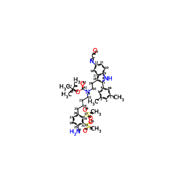 Cc1cc(C)cc(-c2[nH]c3ccc(N=C=O)cc3c2CCN(CCCCc2ccc(N)c(S(C)(=O)=O)c2S(C)(=O)=O)C(=O)OC(C)(C)C)c1